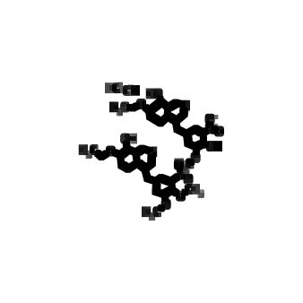 CCOc1ccc2c(Cc3cc(OC)c(O)c([N+](=O)[O-])c3)cncc2c1O.CCOc1ccc2c(Cc3cc(OC)c(OC)c([N+](=O)[O-])c3)cncc2c1O.Cl.Cl